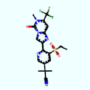 CCS(=O)(=O)c1cc(C(C)(C)C#N)cnc1-c1cn2c(=O)n(C)c(C(F)(F)F)cc2n1